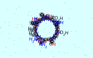 CCCC[C@@H]1C(=O)N(C)[C@H](CCCC)C(=O)N[C@@H](CCCN)C(=O)N[C@@H](C(=O)NCC(N)=O)CSCC(=O)N[C@@H](Cc2ccc(O)cc2)C(=O)N2CCCCC2C(=O)N[C@H](CC(=O)O)C(=O)N2CCC[C@H]2CN[C@H](Cc2c[nH]cn2)C(=O)N[C@@H](CCC(=O)O)C(=O)N2C[C@H](O)CC2C(=O)N[C@H](Cc2c[nH]c3ccccc23)C(=O)N[C@@H](CCO)C(=O)N[C@@H](Cc2c[nH]c3ccccc23)C(=O)N1C